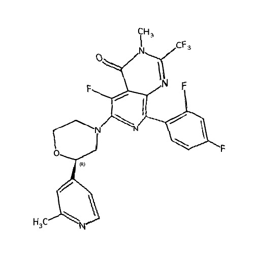 Cc1cc([C@@H]2CN(c3nc(-c4ccc(F)cc4F)c4nc(C(F)(F)F)n(C)c(=O)c4c3F)CCO2)ccn1